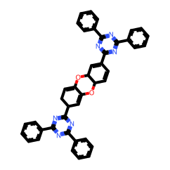 C1=CC2OC3=CC(c4nc(-c5ccccc5)nc(-c5ccccc5)n4)CC=C3OC2C=C1c1nc(-c2ccccc2)nc(-c2ccccc2)n1